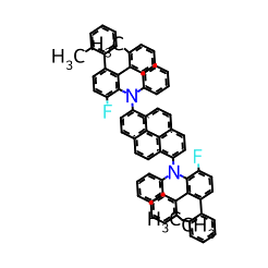 Cc1ccccc1-c1ccc(F)c(N(c2ccccc2)c2ccc3ccc4c(N(c5ccccc5)c5c(F)ccc(-c6ccccc6C)c5-c5ccccc5C)ccc5ccc2c3c54)c1-c1ccccc1C